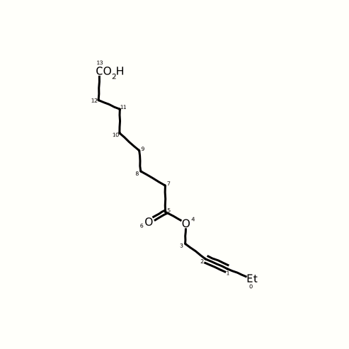 CCC#CCOC(=O)CCCCCCC(=O)O